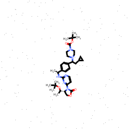 CC(OC(C)(C)C)[C@H]1COC(=O)N1c1ccnc(N[C@@H](C)c2ccc(C(CC3CC3)N3CCN(C(=O)OC(C)(C)C)CC3)cc2)n1